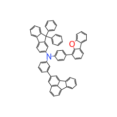 c1ccc(C2(c3ccccc3)c3ccccc3-c3ccc(N(c4ccc(-c5cccc6c5oc5ccccc56)cc4)c4cccc(-c5cc6c7c(cccc7c5)-c5ccccc5-6)c4)cc32)cc1